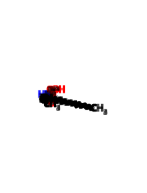 CCCCCCCCCCCCCCCCCC(=O)c1c(OC(=O)O)[nH]c2cccc(C)c12